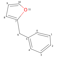 [c]1ccccc1Cc1ccco1